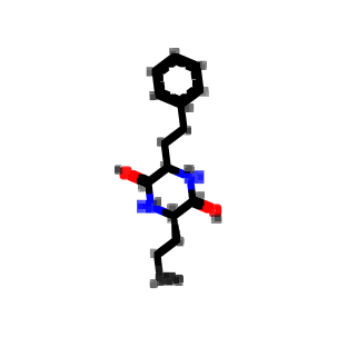 CSCC[C@H]1NC(=O)C(CCc2ccccc2)NC1=O